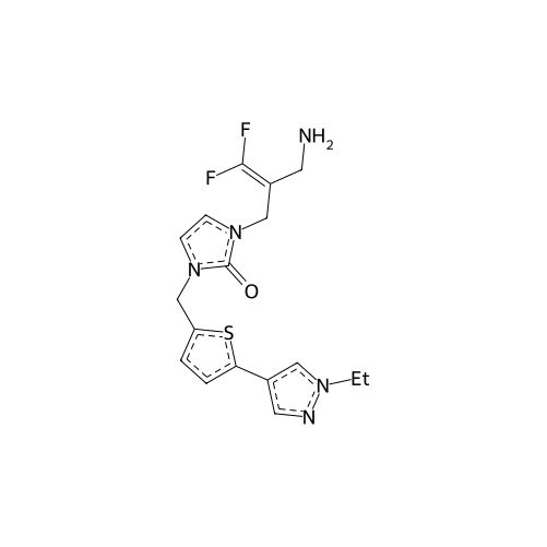 CCn1cc(-c2ccc(Cn3ccn(CC(CN)=C(F)F)c3=O)s2)cn1